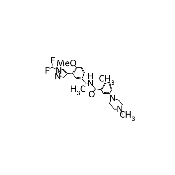 COc1ccc([C@@H](C)NC(=O)c2cc(N3CCN(C)CC3)ccc2C)cc1-c1cnn(C(F)F)c1